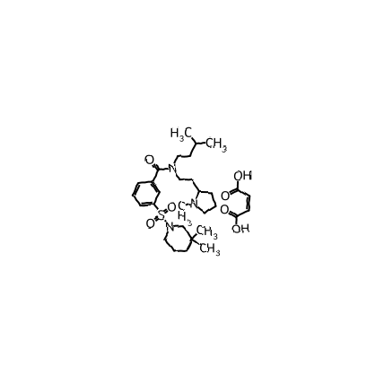 CC(C)CCN(CCC1CCCN1C)C(=O)c1cccc(S(=O)(=O)N2CCCC(C)(C)C2)c1.O=C(O)/C=C\C(=O)O